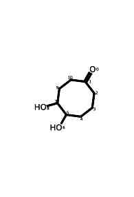 O=C1CCCC(O)C(O)CC1